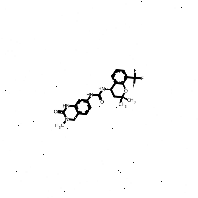 CN1Cc2ccc(NC(=O)N[C@@H]3CC(C)(C)Oc4c3cccc4C(F)(F)F)cc2NC1=O